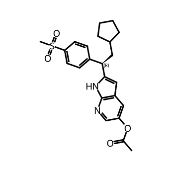 CC(=O)Oc1cnc2[nH]c([C@H](CC3CCCC3)c3ccc(S(C)(=O)=O)cc3)cc2c1